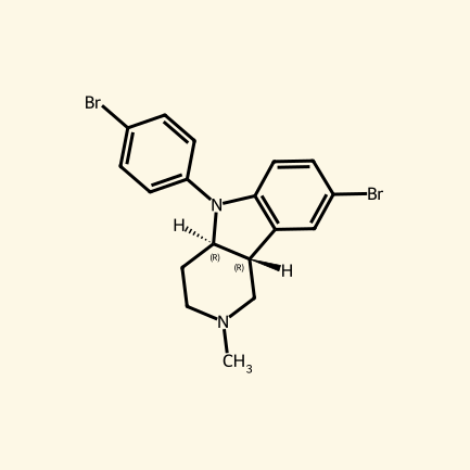 CN1CC[C@@H]2[C@@H](C1)c1cc(Br)ccc1N2c1ccc(Br)cc1